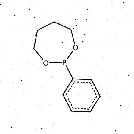 c1ccc(P2OCCCCO2)cc1